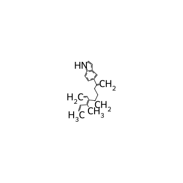 C=C/C(C(=C)CCC(=C)c1ccc2[nH]ccc2c1)=C(C)\C=C/C